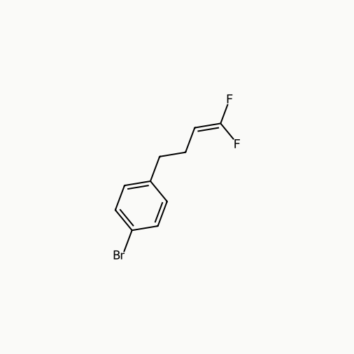 FC(F)=CCCc1ccc(Br)cc1